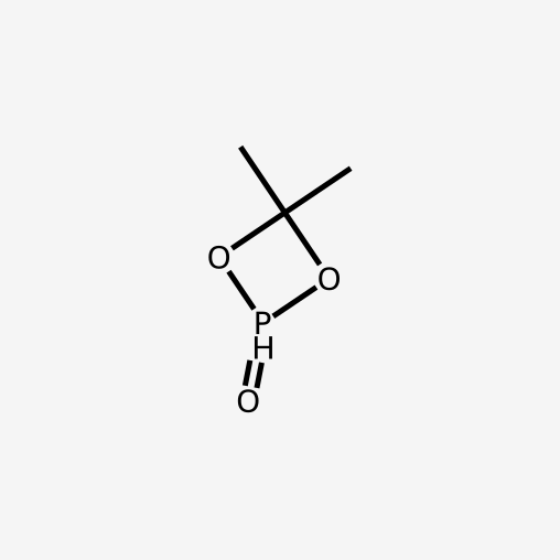 CC1(C)O[PH](=O)O1